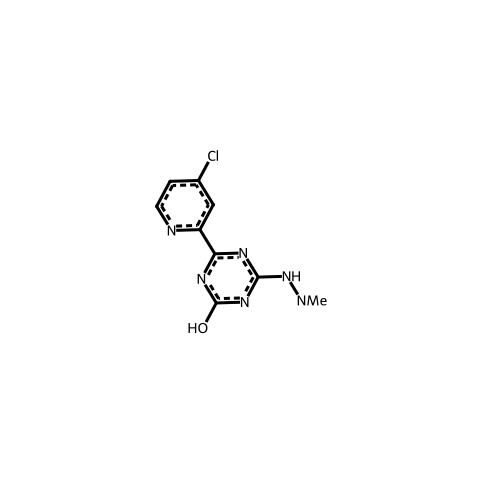 CNNc1nc(O)nc(-c2cc(Cl)ccn2)n1